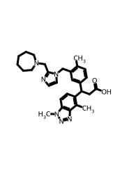 Cc1ccc(C(CC(=O)O)c2ccc3c(nnn3C)c2C)cc1Cn1ccnc1CN1CCCCCC1